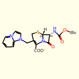 CC(C)(C)OC(=O)N[C@@H]1C(=O)N2C(C(=O)[O-])=C(Cn3cc[n+]4ccccc34)CS[C@H]12